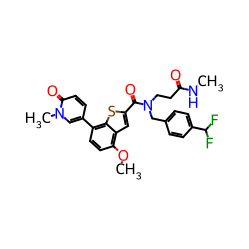 CNC(=O)CCN(Cc1ccc(C(F)F)cc1)C(=O)c1cc2c(OC)ccc(-c3ccc(=O)n(C)c3)c2s1